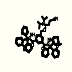 COc1ccccc1C(c1ccccc1)(c1ccccc1)N(N)C(=O)c1cc(COP(CCC#N)N(C(C)C)C(C)C)cc(C(=O)N(N)C(c2ccccc2)(c2ccccc2)c2ccccc2OC)c1